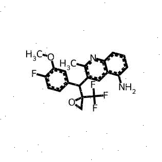 COc1cc(C(c2cc3c(N)cccc3nc2C)C2(C(F)(F)F)CO2)ccc1F